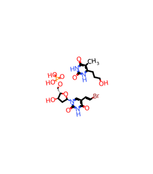 Cc1c(CCCO)[nH]c(=O)[nH]c1=O.O=c1[nH]c(=O)n([C@H]2C[C@@H](O)[C@H](COP(=O)(O)O)O2)cc1/C=C/Br